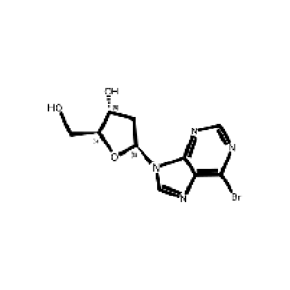 OC[C@@H]1O[C@H](n2cnc3c(Br)ncnc32)C[C@H]1O